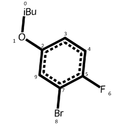 CCC(C)Oc1ccc(F)c(Br)c1